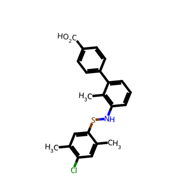 Cc1cc(SNc2cccc(-c3ccc(C(=O)O)cc3)c2C)c(C)cc1Cl